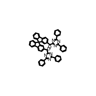 O=C(c1ccc2c(c1)C1(c3ccccc3-2)c2ccccc2-c2ccc(C(=O)c3nc(-c4ccccc4)nc(-c4ccccc4)n3)cc21)c1nc(-c2ccccc2)nc(-c2ccccc2)n1